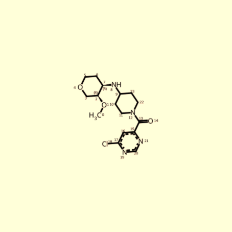 CO[C@H]1COCC[C@H]1NC1CCN(C(=O)c2cc(Cl)ncn2)CC1